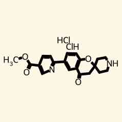 COC(=O)c1ccc(-c2ccc3c(c2)C(=O)CC2(CCNCC2)O3)nc1.Cl.Cl